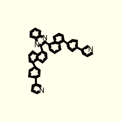 c1cncc(-c2ccc(-c3cccc4c(-c5nc6ccccc6nc5-c5cccc6c(-c7ccc(-c8cccnc8)cc7)cccc56)cccc34)cc2)c1